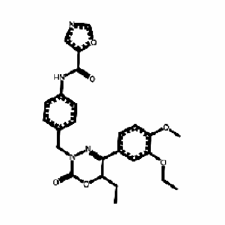 CCOc1cc(C2=NN(Cc3ccc(NC(=O)c4cnco4)cc3)C(=O)OC2CC)ccc1OC